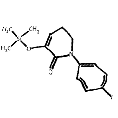 C[Si](C)(C)OC1=CCCN(c2ccc(I)cc2)C1=O